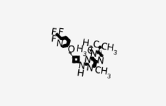 Cc1nc(N[C@H]2C[C@@H](COc3ccc(C(F)(F)F)nc3)C2)nc2c1N=C[C@H](C(C)C)N2C